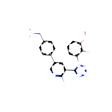 COc1cccc(-n2nnnc2-c2cc(-c3ccc(CN(C)C)cc3)cnc2N)c1F